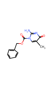 Cc1cn(C(=O)OCc2ccccc2)c(N)nc1=O